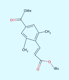 COC(=O)c1cc(C)c(C=CC(=O)OC(C)(C)C)c(C)c1